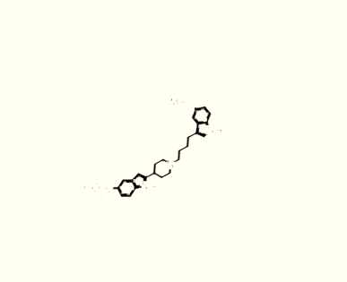 COc1ccc2[nH]cc(CCCCN3CCC(c4cc5cc(C(=O)O)ccc5[nH]4)CC3)c2c1